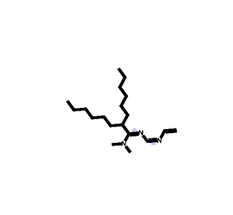 C=C/N=C\N=C(\C(CCCCCC)CCCCCC)N(C)C